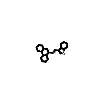 C(=C\c1cc2ccccc2c2ccccc12)/c1csc2ccccc12